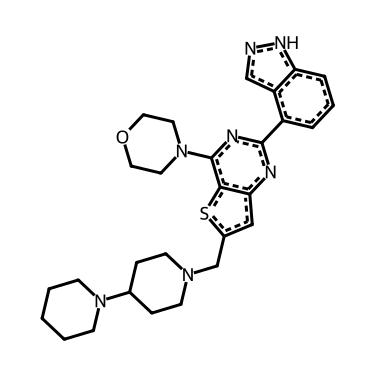 c1cc(-c2nc(N3CCOCC3)c3sc(CN4CCC(N5CCCCC5)CC4)cc3n2)c2cn[nH]c2c1